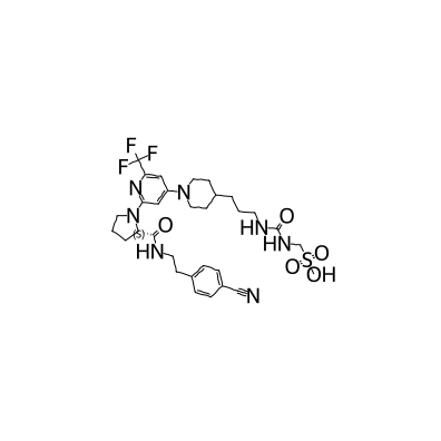 N#Cc1ccc(CCNC(=O)[C@@H]2CCCN2c2cc(N3CCC(CCCNC(=O)NCS(=O)(=O)O)CC3)cc(C(F)(F)F)n2)cc1